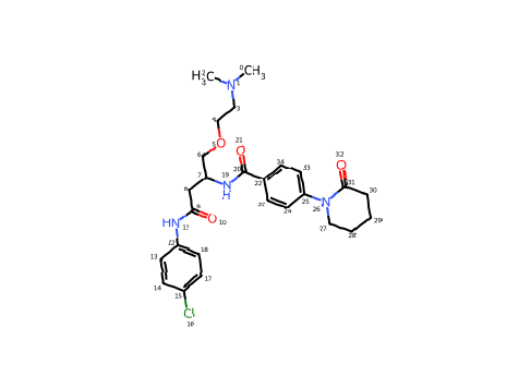 CN(C)CCOCC(CC(=O)Nc1ccc(Cl)cc1)NC(=O)c1ccc(N2CCCCC2=O)cc1